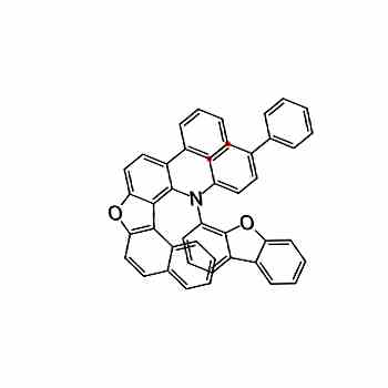 c1ccc(-c2ccc(N(c3cccc4c3oc3ccccc34)c3c(-c4ccccc4)ccc4oc5ccc6ccccc6c5c34)cc2)cc1